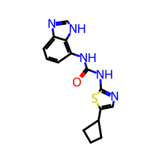 O=C(Nc1ncc(C2CCC2)s1)Nc1cccc2nc[nH]c12